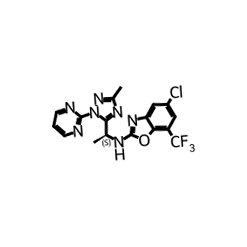 Cc1nc([C@H](C)Nc2nc3cc(Cl)cc(C(F)(F)F)c3o2)n(-c2ncccn2)n1